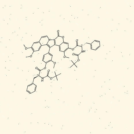 COc1cc2ccn3c(c(-c4ccc(OC(=O)[C@H](Cc5ccccc5)NC(=O)OC(C)(C)C)c(OC)c4)c4c5cc(OC)c(OC(=O)[C@H](Cc6ccccc6)NC(=O)OC(C)(C)C)cc5oc(=O)c43)c2cc1OC